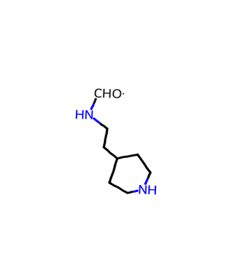 O=[C]NCCC1CCNCC1